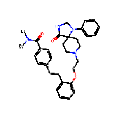 CCN(CC)C(=O)c1ccc(CCc2ccccc2OCCN2CCC3(CC2)C(=O)NCN3c2ccccc2)cc1